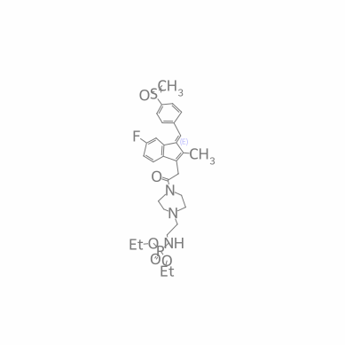 CCOP(=O)(NCCN1CCN(C(=O)CC2=C(C)/C(=C/c3ccc([S+](C)[O-])cc3)c3cc(F)ccc32)CC1)OCC